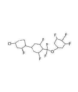 FC1CC(OC(F)(F)C2C(F)CC(C3CCC(Cl)CC3F)CC2F)CC(F)C1F